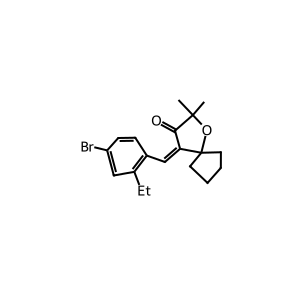 CCc1cc(Br)ccc1/C=C1\C(=O)C(C)(C)OC12CCCC2